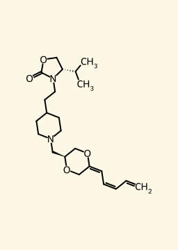 C=C/C=C\C=C1/CO[C@@H](CN2CCC(CCN3C(=O)OC[C@@H]3C(C)C)CC2)CO1